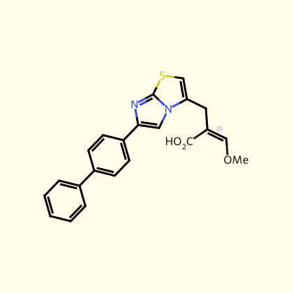 CO/C=C(/Cc1csc2nc(-c3ccc(-c4ccccc4)cc3)cn12)C(=O)O